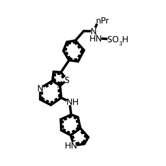 CCCN(Cc1ccc(-c2cc3nccc(Nc4ccc5[nH]ccc5c4)c3s2)cc1)NS(=O)(=O)O